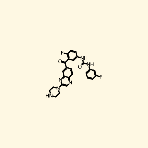 O=C(Nc1cccc(F)c1)Nc1ccc(F)c(C(=O)c2ccc3ncc(N4CCNCC4)nc3c2)c1